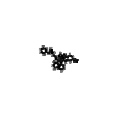 COc1nc2ccc(Br)cc2cc1C(c1ccccc1)C(O)(CCCCN(C)Cc1ccccc1)c1ccccc1